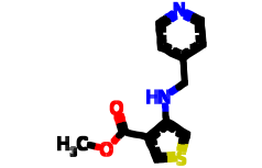 COC(=O)c1cscc1NCc1ccncc1